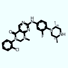 C[C@@H]1CN[C@@H](C)CN1c1ccc(Nc2ncc3c(n2)N(C)CN(c2ccccc2Cl)C3=O)cc1F